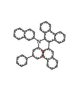 c1ccc(-c2cccc(N(c3ccc4ccccc4c3)c3c(-c4ccc5ccccc5c4)c4ccccc4c4ccccc34)c2)cc1